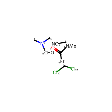 CC#N.CCC(=O)NC.CN(C)C=O.ClCCl